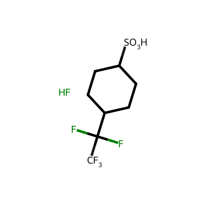 F.O=S(=O)(O)C1CCC(C(F)(F)C(F)(F)F)CC1